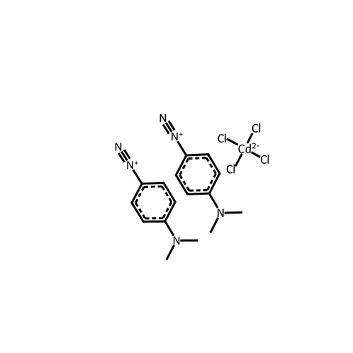 CN(C)c1ccc([N+]#N)cc1.CN(C)c1ccc([N+]#N)cc1.[Cl][Cd-2]([Cl])([Cl])[Cl]